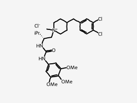 COc1cc(NC(=O)N[C@@H](C[N+]2(C)CCC(Cc3ccc(Cl)c(Cl)c3)CC2)C(C)C)cc(OC)c1OC.[Cl-]